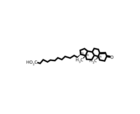 C[C@]12CCC(=O)C=C1CCC1C2CC[C@@]2(C)C1CC[C@@H]2CCCCCCCCCCCC(=O)O